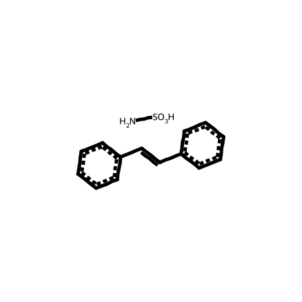 C(=Cc1ccccc1)c1ccccc1.NS(=O)(=O)O